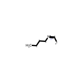 CCCC/N=C\I